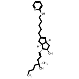 CCCC[C@](C)(O)C/C=C/[C@@H]1[C@H]2CC(CCCCCNc3ccccn3)=C[C@H]2C[C@H]1O